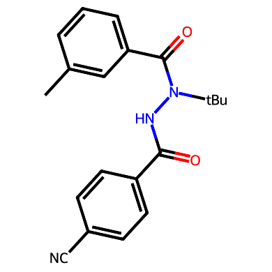 Cc1cccc(C(=O)N(NC(=O)c2ccc(C#N)cc2)C(C)(C)C)c1